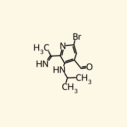 CC(=N)c1nc(Br)cc(C=O)c1NC(C)C